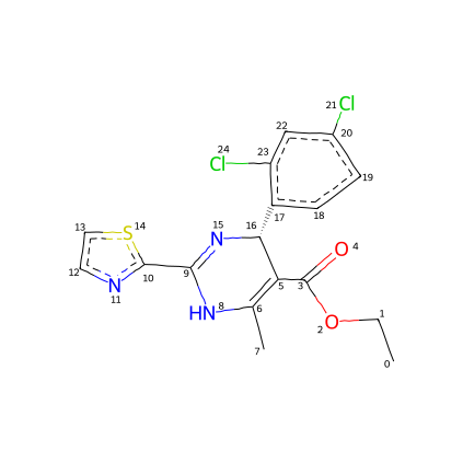 CCOC(=O)C1=C(C)NC(c2nccs2)=N[C@@H]1c1ccc(Cl)cc1Cl